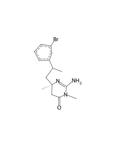 CC(C[C@]1(C)CC(=O)N(C)C(N)=N1)c1cccc(Br)c1